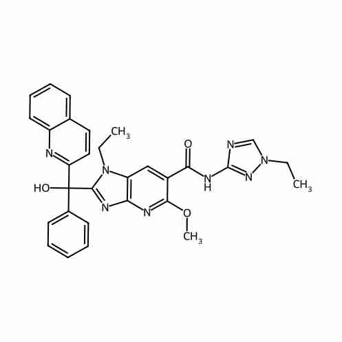 CCn1cnc(NC(=O)c2cc3c(nc2OC)nc(C(O)(c2ccccc2)c2ccc4ccccc4n2)n3CC)n1